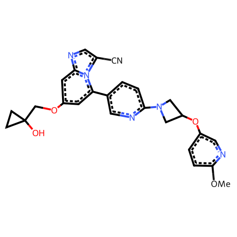 COc1ccc(OC2CN(c3ccc(-c4cc(OCC5(O)CC5)cc5ncc(C#N)n45)cn3)C2)cn1